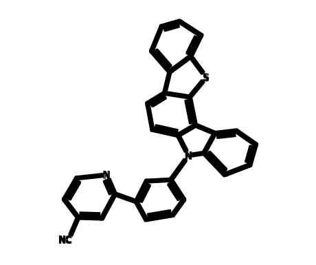 N#Cc1ccnc(-c2cccc(-n3c4ccccc4c4c5sc6ccccc6c5ccc43)c2)c1